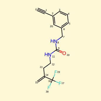 C#Cc1cccc(CNC(=O)NCCC(=C)C(F)(F)F)c1